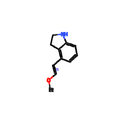 CCO/C=C/c1cccc2c1CCN2